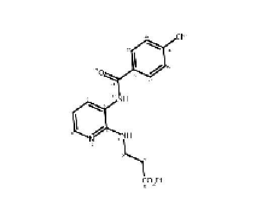 CCOC(=O)CCNc1ncccc1NC(=O)c1ccc(Cl)cc1